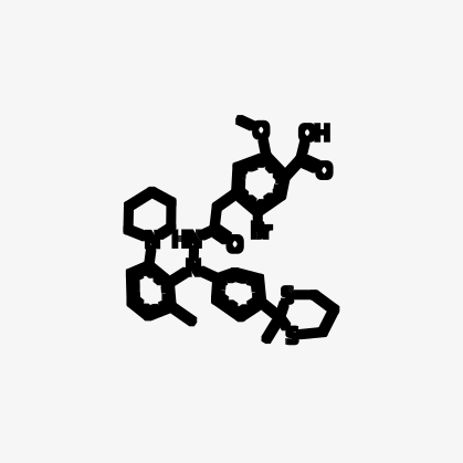 COc1cc(CC(=O)NN(c2ccc(C3(C)SCCCS3)cc2)c2c(C)cccc2N2CCCCC2)c(Br)cc1C(=O)O